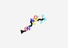 [O-][S+](CCC(F)=C(F)F)c1ncc(C/C=N/OCC2CC2)s1